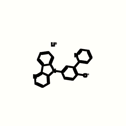 [Li+].[O-]c1ccc(-n2c3ccccc3c3ncccc32)cc1-c1ccccn1